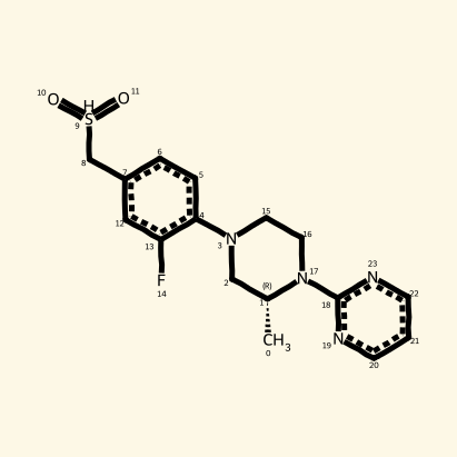 C[C@@H]1CN(c2ccc(C[SH](=O)=O)cc2F)CCN1c1n[c]ccn1